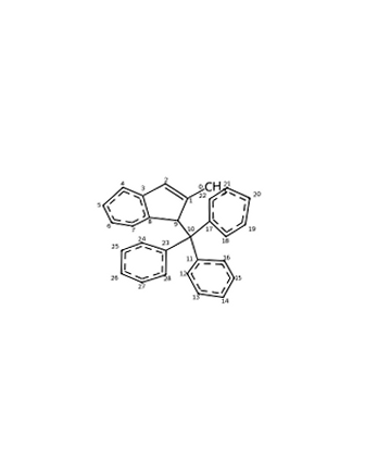 CC1=Cc2ccccc2C1C(c1ccccc1)(c1ccccc1)c1ccccc1